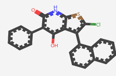 O=c1[nH]c2sc(Cl)c(-c3cccc4ccccc34)c2c(O)c1-c1ccccc1